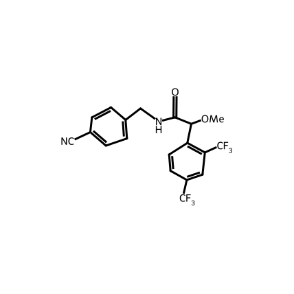 COC(C(=O)NCc1ccc(C#N)cc1)c1ccc(C(F)(F)F)cc1C(F)(F)F